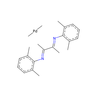 CC(=Nc1c(C)cccc1C)C(C)=Nc1c(C)cccc1C.[CH3][Pd][CH3]